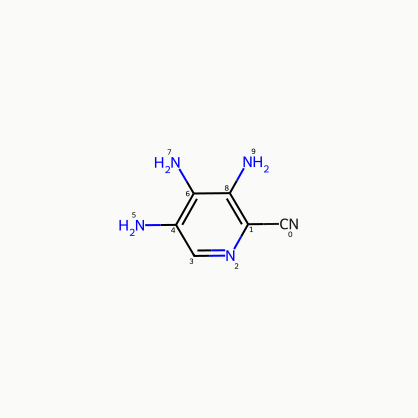 N#Cc1ncc(N)c(N)c1N